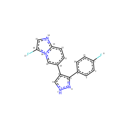 Fc1ccc(-c2n[nH]cc2-c2ccc3ncc(F)n3c2)cc1